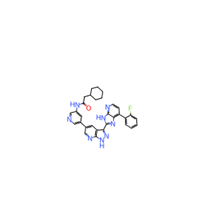 O=C(CC1CCCCC1)Nc1cncc(-c2cnc3[nH]nc(-c4nc5c(-c6ccccc6F)ccnc5[nH]4)c3c2)c1